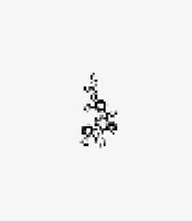 CCOC(=O)COc1ccc(C(=O)Nc2ccsc2C(=O)NC(C)c2ccccc2OC)cc1Cl